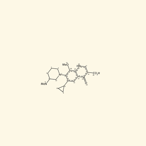 CNC1CCCN(c2c(C3CC3)cc3c(=O)c(C(=O)O)c[nH]c3c2OC)C1